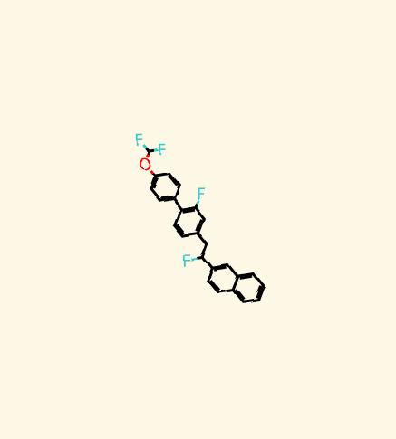 Fc1cc(CC(F)c2ccc3ccccc3c2)ccc1-c1ccc(OC(F)F)cc1